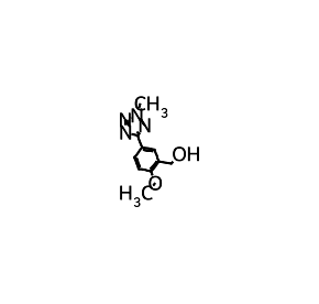 COc1ccc(-c2nnn(C)n2)cc1CO